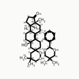 CC1(C)COC(c2cccc([C@H]3C[C@@]4(C)C(=O)CC[C@H]4[C@@H]4CC[C@@]5(O)CC6(CCC5=C43)CC(C)(C)COO6)c2)OC1